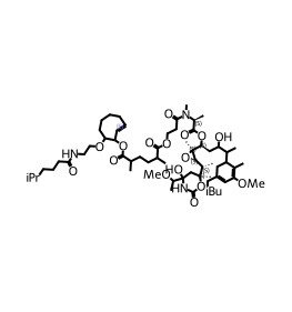 CCC(C)CC1=CC(OC)=C(C)C(C(C)C(O)C[C@H](OC(=O)[C@H](C)N(C)C(=O)CCOC(=O)C(C)CCC(C)C(=O)OC2/C=C/CCCCC2OCCNC(=O)CCCC(C)C)[C@]2(C)O[C@H]2[C@H](C)[C@]2(C)CC(O)(C(C)OC)NC(=O)O2)C1